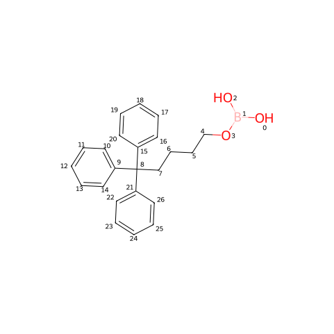 OB(O)OCCCCC(c1ccccc1)(c1ccccc1)c1ccccc1